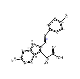 O=C(O)C(=O)c1c(/C=C/c2ccc(Cl)cc2)[nH]c2cc(Br)ccc12